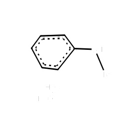 BrBc1ccccc1.O.O